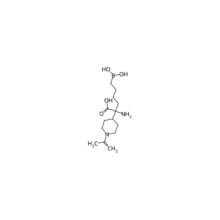 C=C(C)N1CCC(C(N)(CCCCB(O)O)C(=O)O)CC1